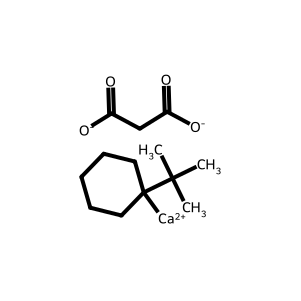 CC(C)(C)[C]1([Ca+2])CCCCC1.O=C([O-])CC(=O)[O-]